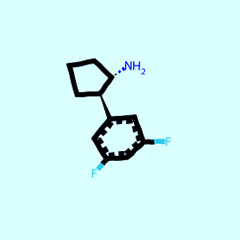 N[C@H]1CCC[C@@H]1c1cc(F)cc(F)c1